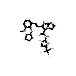 COc1cccc(/C=C/c2nc3sccn3c2C(=O)Nc2nc(C(F)(F)F)cs2)c1OC1CCCC1